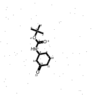 CC(C)(C)OC(=O)NC1CCCC(=O)C1